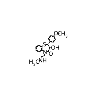 CNCCN1C(=O)[C@H](O)[C@H](c2ccc(OC)cc2)Sc2ccccc21